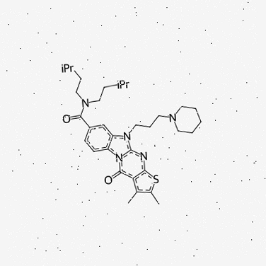 Cc1sc2nc3n(CCCN4CCCCC4)c4cc(C(=O)N(CCC(C)C)CCC(C)C)ccc4n3c(=O)c2c1C